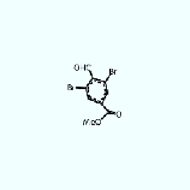 COC(=O)c1cc(Br)c(C=O)c(Br)c1